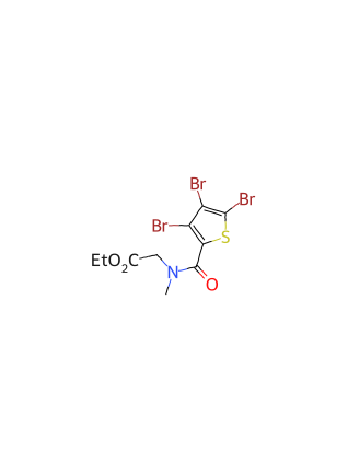 CCOC(=O)CN(C)C(=O)c1sc(Br)c(Br)c1Br